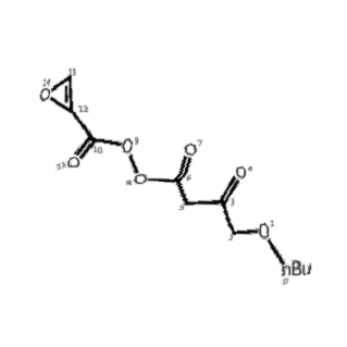 CCCCOCC(=O)CC(=O)OOC(=O)C1=CO1